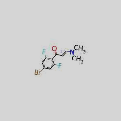 CN(C)/C=C/C(=O)c1c(F)cc(Br)cc1F